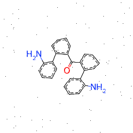 Nc1ccccc1-c1ccccc1C(=O)c1ccccc1-c1ccccc1N